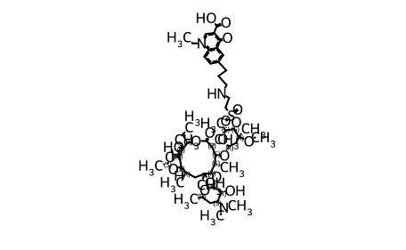 CC[C@H]1OC(=O)[C@H](C)[C@@H](O[C@H]2C[C@@](C)(OC)[C@@H](OS(=O)(=O)CCNCCCc3ccc4c(c3)c(=O)c(C(=O)O)cn4CC)[C@H](C)O2)[C@H](C)[C@@H](O[C@@H]2O[C@H](C)C[C@H](N(C)C)[C@H]2O)[C@](C)(O)C[C@@H](C)[C@@H]2O[C@H](C)O[C@H]2[C@]1(C)O